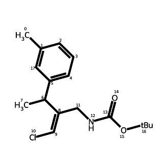 Cc1cccc(C(C)/C(=C\Cl)CNC(=O)OC(C)(C)C)c1